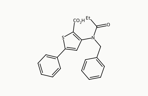 CCC(=O)N(Cc1ccccc1)c1cc(-c2ccccc2)sc1C(=O)O